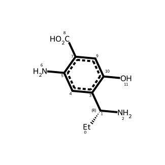 CC[C@@H](N)c1cc(N)c(C(=O)O)cc1O